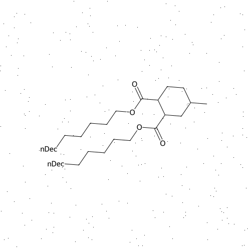 CCCCCCCCCCCCCCCOC(=O)C1CCC(C)CC1C(=O)OCCCCCCCCCCCCCCC